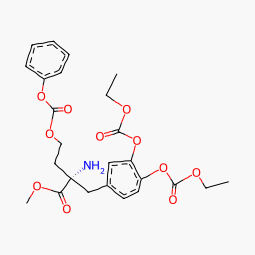 CCOC(=O)Oc1ccc(C[C@](N)(CCOC(=O)Oc2ccccc2)C(=O)OC)cc1OC(=O)OCC